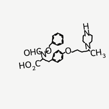 CC(CCCOc1ccc(CC(C(=O)O)N(C=O)OCc2ccccc2)cc1)N1CCNCC1